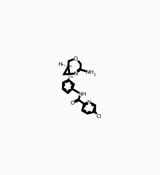 NC1=N[C@@]2(c3cccc(NC(=O)c4ccc(Cl)cn4)c3)C[C@H]2COC1